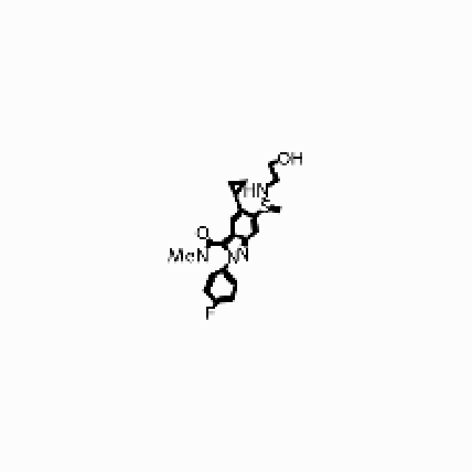 C=S(NCCO)c1cc2nn(-c3ccc(F)cc3)c(C(=O)NC)c2cc1C1CC1